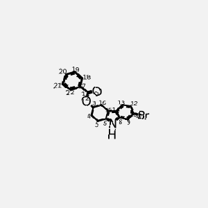 O=C(OC1CCc2[nH]c3cc(Br)ccc3c2C1)c1ccccc1